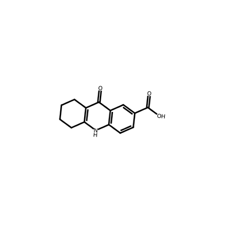 O=C(O)c1ccc2[nH]c3c(c(=O)c2c1)CCCC3